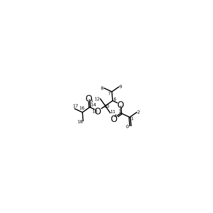 C=C(C)C(=O)OC(C(C)C)C(C)(C)OC(=O)C(C)C